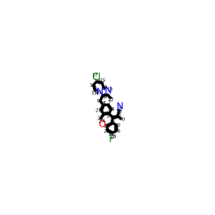 C/C(C#N)=C1/c2ccc(Cc3c(C)nc4cc(Cl)ccn34)cc2COc2cc(F)ccc21